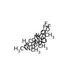 COc1cccc(OC)c1-n1c(NS(=O)(=O)[C@@H](C)[C@H](OC)c2ncc(C)cn2)nnc1-c1ccc(OC(F)(F)F)cc1